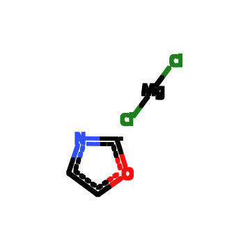 [Cl][Mg][Cl].[c]1ncco1